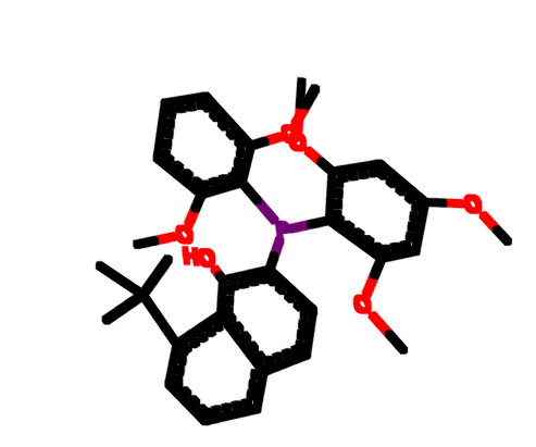 COc1cc(OC)c(P(c2ccc3cccc(C(C)(C)C)c3c2O)c2c(OC)cccc2OC)c(OC)c1